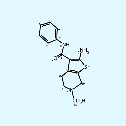 Nc1sc2c(c1C(=O)Nc1ccccc1)CCN(C(=O)O)C2